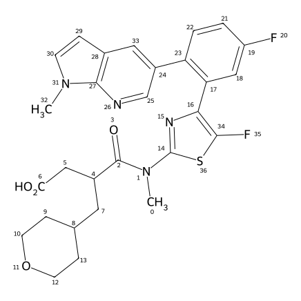 CN(C(=O)C(CC(=O)O)CC1CCOCC1)c1nc(-c2cc(F)ccc2-c2cnc3c(ccn3C)c2)c(F)s1